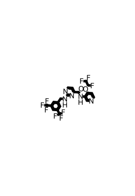 O=C(Nc1cnccc1OC(F)C(F)F)c1ccnc(NCc2cc(C(F)(F)F)cc(C(F)(F)F)c2)n1